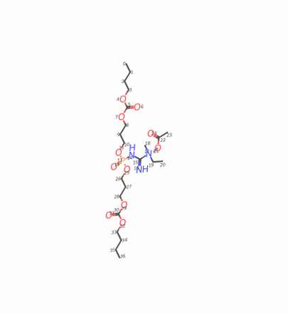 CCCCOC(=O)OCCCOP(=O)(NC(=N)[N+](C)(CC)OC(C)=O)OCCCOC(=O)OCCCC